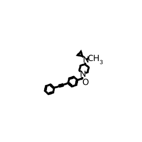 CN(C1CC1)C1CCN(C(=O)c2ccc(C#Cc3ccccc3)cc2)CC1